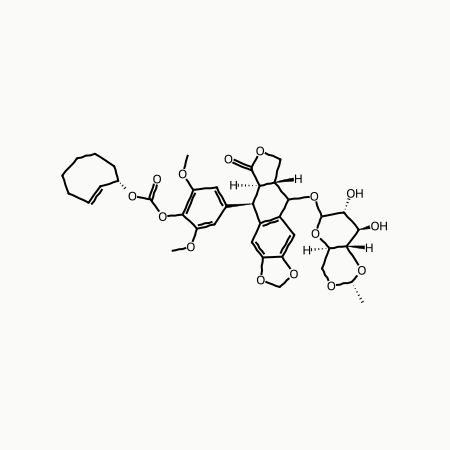 COc1cc([C@@H]2c3cc4c(cc3C(OC3O[C@@H]5CO[C@@H](C)O[C@H]5[C@H](O)[C@H]3O)[C@H]3COC(=O)[C@H]23)OCO4)cc(OC)c1OC(=O)O[C@@H]1/C=C/CCCCC1